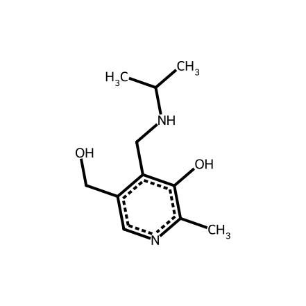 Cc1ncc(CO)c(CNC(C)C)c1O